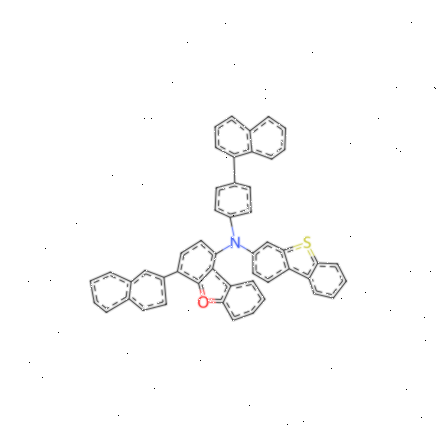 c1ccc2cc(-c3ccc(N(c4ccc(-c5cccc6ccccc56)cc4)c4ccc5c(c4)sc4ccccc45)c4c3oc3ccccc34)ccc2c1